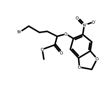 COC(=O)C(CCCBr)Oc1cc2c(cc1[N+](=O)[O-])OCO2